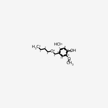 CCCCOCc1ccc(O)c(OC)c1.Cl